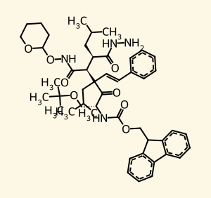 CC(C)C[C@@H](C(=O)NN)[C@H](C(=O)NOC1CCCCO1)C(/C=C/c1ccccc1)(CC(C)C)C(=O)[C@@H](COC(C)(C)C)NC(=O)OCC1c2ccccc2-c2ccccc21